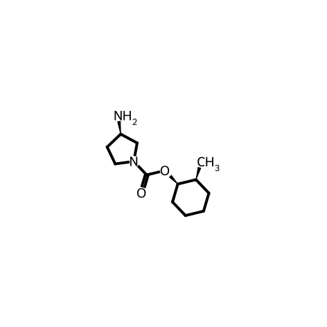 C[C@H]1CCCC[C@H]1OC(=O)N1CC[C@@H](N)C1